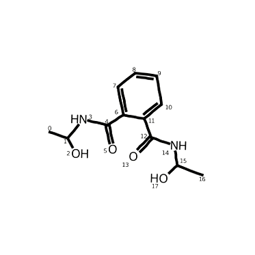 CC(O)NC(=O)c1ccccc1C(=O)NC(C)O